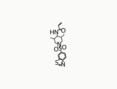 C=CC(=O)NC1C(C)CN(S(=O)(=O)c2ccc3ncsc3c2)CC1C